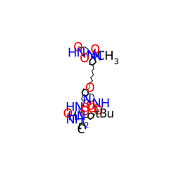 Cn1c(=O)n(C2CCC(=O)NC2=O)c2ccc(CCCCCCOc3ccc4c5c3CC[C@H](NC(=O)OC(C)(C)C)C(=O)N5[C@H](C(=O)N[C@@H](CCC(N)=O)C(=O)NC(c3ccccc3)c3ccccc3)C4)cc21